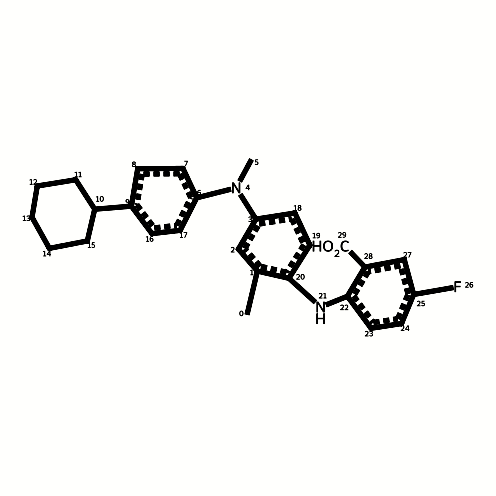 Cc1cc(N(C)c2ccc(C3CCCCC3)cc2)ccc1Nc1ccc(F)cc1C(=O)O